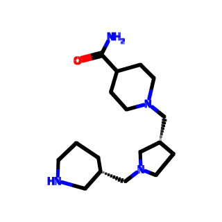 NC(=O)C1CCN(C[C@@H]2CCN(C[C@H]3CCCNC3)C2)CC1